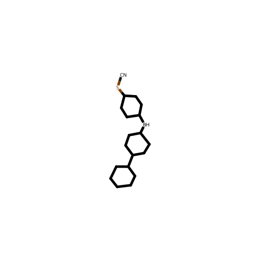 N#CSC1CCC(BC2CCC(C3CCCCC3)CC2)CC1